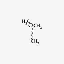 [CH2]CCCCC[CH]c1ccc(C)cc1C